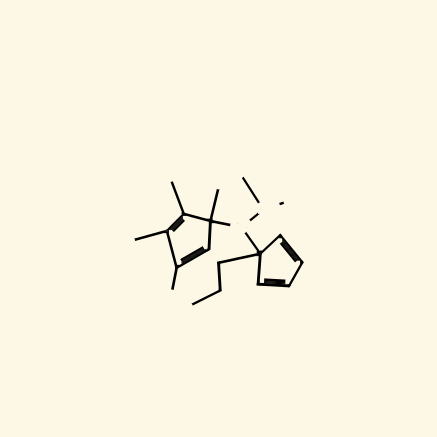 CCC[C]1([Zr+2]([SiH](C)C)[C]2(C)C=C(C)C(C)=C2C)C=CC=C1.[Cl-].[Cl-]